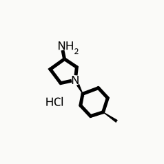 C[C@H]1CC[C@@H](N2CCC(N)C2)CC1.Cl